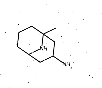 CC12CCCC(CC(N)C1)N2